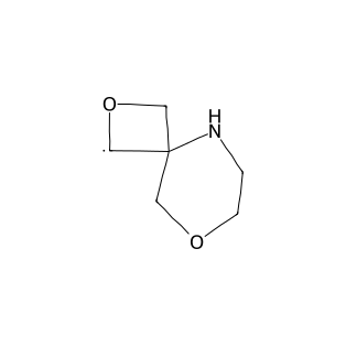 [CH]1OCC12COCCN2